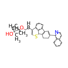 CC(C)(O)C(C)(C)OCBC1=CSC2C3=C(C=C(c4nccc5ccccc45)CC3)c3cccc1c32